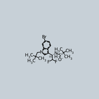 CC(C)(C)Cn1cc([C@H](N[S+]([O-])C(C)(C)C)C(F)F)c2ccc(Br)cc21